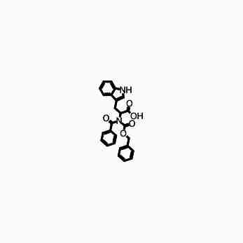 O=C(O)C(Cc1c[nH]c2ccccc12)N(C(=O)OCc1ccccc1)C(=O)c1ccccc1